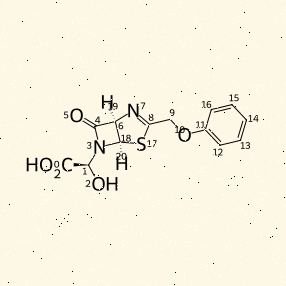 O=C(O)[C@H](O)N1C(=O)[C@H]2N=C(COc3ccccc3)S[C@H]21